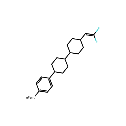 CCCCCc1ccc(C2CCC(C3CCC(C=C(F)F)CC3)CC2)cc1